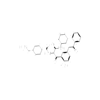 Cl.NC[C@H]1CC[C@H](C(=O)NC(C(=O)NC2CCCCC2)C(=O)c2cccc(CC(=O)c3ccccc3)c2)CC1